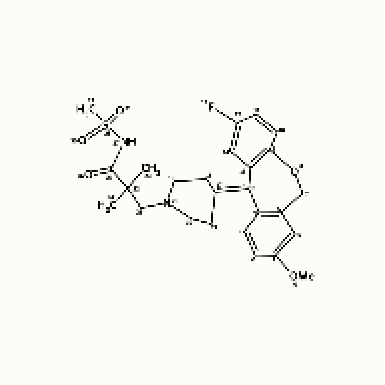 COc1ccc2c(c1)COc1ccc(F)cc1C2=C1CCN(CC(C)(C)C(=O)NS(C)(=O)=O)CC1